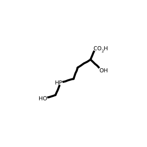 O=C(O)C(O)CCPCO